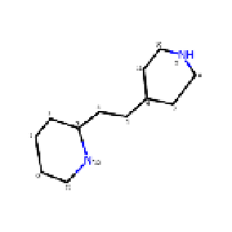 C1CCC(CCC2CCNCC2)[N]C1